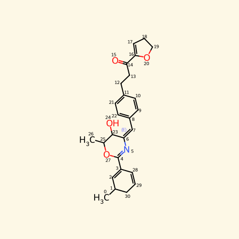 CC1C=C(C2=N/C(=C/c3ccc(CCC(=O)C4=CCCO4)cc3)C(O)C(C)O2)C=CC1